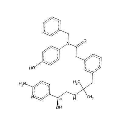 CC(C)(Cc1cccc(CC(=O)N(Cc2ccccc2)c2ccc(O)cc2)c1)NC[C@@H](O)c1ccc(N)nc1